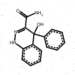 NC(=O)C1=NNc2ccccc2C1(O)c1ccccc1